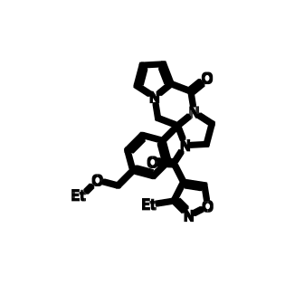 CCOCc1ccc(C23Cn4cccc4C(=O)N2CCN3C(=O)c2conc2CC)cc1